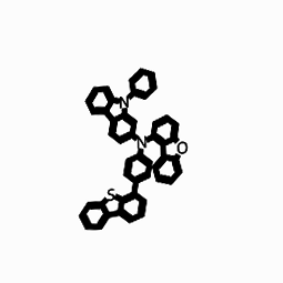 c1ccc(-n2c3ccccc3c3ccc(N(c4ccc(-c5cccc6c5sc5ccccc56)cc4)c4cccc5oc6ccccc6c45)cc32)cc1